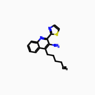 CCCCCc1c(N)c(-c2nccs2)nc2ccccc12